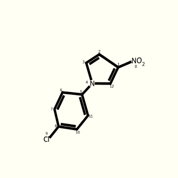 O=[N+]([O-])c1ccn(-c2ccc(Cl)cc2)c1